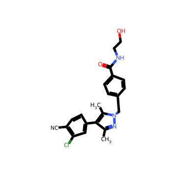 Cc1nn(Cc2ccc(C(=O)NCCO)cc2)c(C)c1-c1ccc(C#N)c(Cl)c1